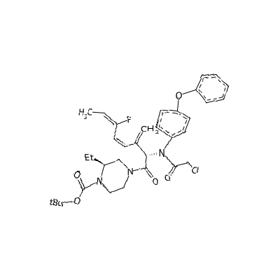 C=C(/C=C\C(F)=C/C)[C@@H](C(=O)N1CCN(C(=O)OC(C)(C)C)[C@@H](CC)C1)N(C(=O)CCl)c1ccc(Oc2ccccc2)cc1